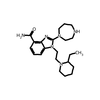 CCC1CCCCN1CCn1c(N2CCCNCC2)nc2c(C(N)=O)cccc21